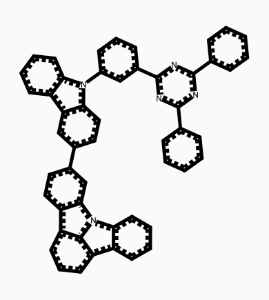 c1ccc(-c2nc(-c3ccccc3)nc(-c3cccc(-n4c5ccccc5c5cc(-c6ccc7c8cccc9c%10ccccc%10n(c7c6)c98)ccc54)c3)n2)cc1